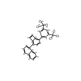 ClC(Cl)(Cl)c1nc(-c2ccc(-c3cccc4ccccc34)c3c2C=C3)nc(C(Cl)(Cl)Cl)n1